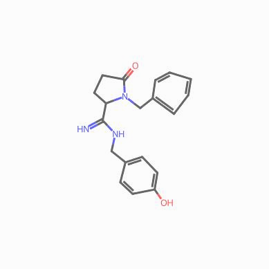 N=C(NCc1ccc(O)cc1)C1CCC(=O)N1Cc1ccccc1